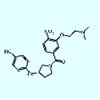 CN(C)CCOc1cc(C(=O)N2CC[C@@H](Nc3ncc(C#N)cn3)C2)ccc1[N+](=O)[O-]